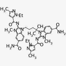 CCn1nc(C)cc1C(=O)/N=c1\n(C)c2cc(C(N)=O)ccc2n1CCCC(C)(C)n1/c(=N/C(=O)c2cc(C)nn2CC)n(C)c2cc(C(N)=O)ccc21